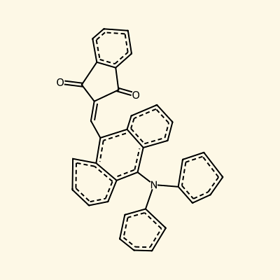 O=C1C(=Cc2c3ccccc3c(N(c3ccccc3)c3ccccc3)c3ccccc23)C(=O)c2ccccc21